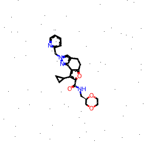 O=C(NC[C@@H]1COCCO1)c1oc2c(c1C1CC1)-c1nn(Cc3ccccn3)cc1CC2